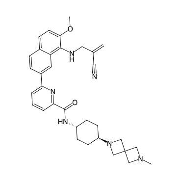 C=C(C#N)CNc1c(OC)ccc2ccc(-c3cccc(C(=O)N[C@H]4CC[C@H](N5CC6(CN(C)C6)C5)CC4)n3)cc12